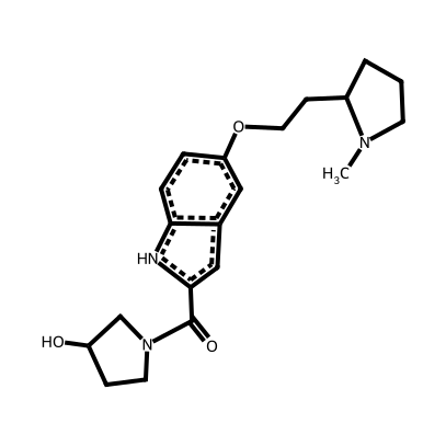 CN1CCCC1CCOc1ccc2[nH]c(C(=O)N3CCC(O)C3)cc2c1